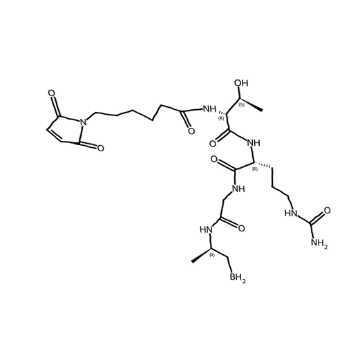 BC[C@@H](C)NC(=O)CNC(=O)[C@@H](CCCNC(N)=O)NC(=O)[C@H](NC(=O)CCCCCN1C(=O)C=CC1=O)[C@H](C)O